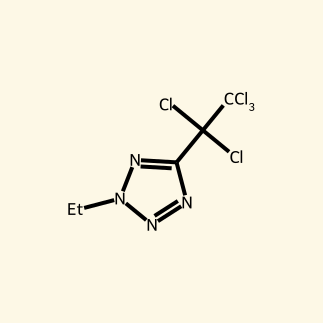 CCn1nnc(C(Cl)(Cl)C(Cl)(Cl)Cl)n1